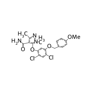 COc1ccc(COc2cc(Oc3c(C(N)=O)c(C)nn3C)c(Cl)cc2Cl)cc1